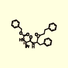 CC(C)[C@@H](NC(=O)OCc1ccccc1)C(=O)NC(Cc1ccccc1)C1OC1CCc1ccccc1